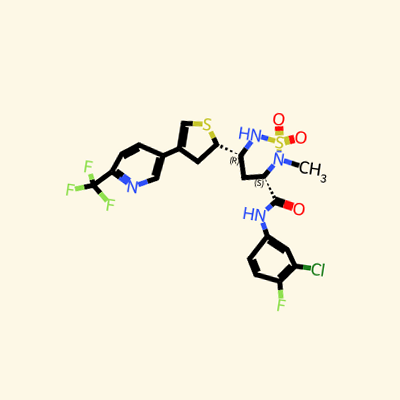 CN1[C@H](C(=O)Nc2ccc(F)c(Cl)c2)C[C@H](C2CC(c3ccc(C(F)(F)F)nc3)=CS2)NS1(=O)=O